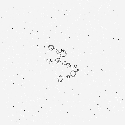 O=C(c1cc(OCc2ccccc2)ccc1F)N1CC2(CC(n3nc(C(F)(F)F)cc3-c3cccnc3OCc3ccccc3)C2)C1